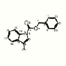 [CH2]c1cn(C(=O)OCc2ccccc2)c2ccccc12